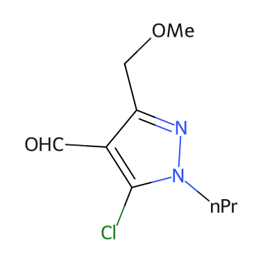 CCCn1nc(COC)c(C=O)c1Cl